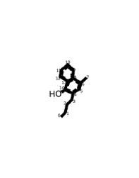 CCCCc1cc(C)c2ccccc2c1O